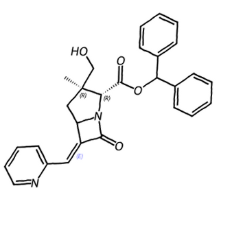 C[C@@]1(CO)CC2/C(=C\c3ccccn3)C(=O)N2[C@H]1C(=O)OC(c1ccccc1)c1ccccc1